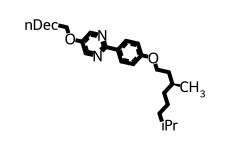 CCCCCCCCCCCOc1cnc(-c2ccc(OCC[C@@H](C)CCCC(C)C)cc2)nc1